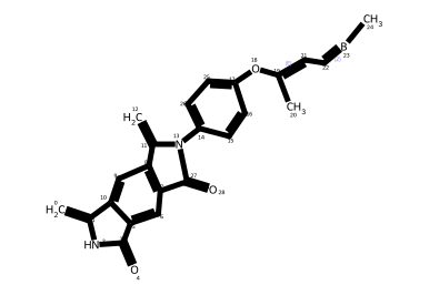 C=C1NC(=O)c2cc3c(cc21)C(=C)N(c1ccc(O/C(C)=C/C=B\C)cc1)C3=O